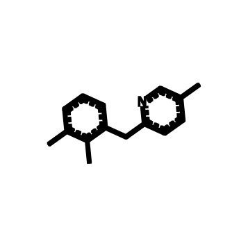 Cc1ccc(Cc2cccc(C)c2C)nc1